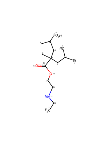 CCC(C#N)CC(C)(CC(C)S(=O)(=O)O)C(=O)OCCNCC(F)(F)F